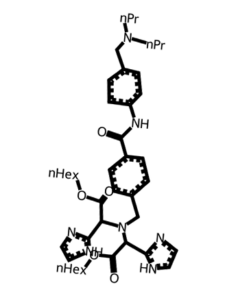 CCCCCCOC(=O)C(c1ncc[nH]1)N(Cc1ccc(C(=O)Nc2ccc(CN(CCC)CCC)cc2)cc1)C(C(=O)OCCCCCC)c1ncc[nH]1